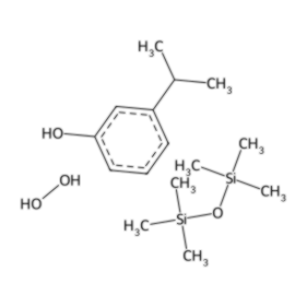 CC(C)c1cccc(O)c1.C[Si](C)(C)O[Si](C)(C)C.OO